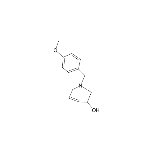 COc1ccc(CN2CC=CC(O)C2)cc1